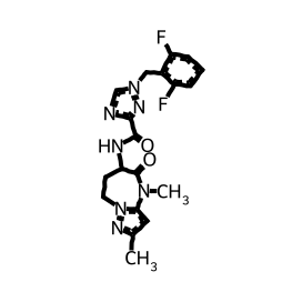 Cc1cc2n(n1)CCC(NC(=O)c1ncn(Cc3c(F)cccc3F)n1)C(=O)N2C